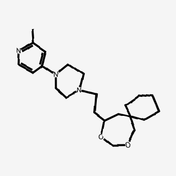 Cc1cc(N2CCN(CCC3CC4(CCCCC4)COCO3)CC2)ccn1